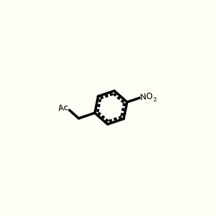 CC(=O)Cc1ccc([N+](=O)[O-])cc1